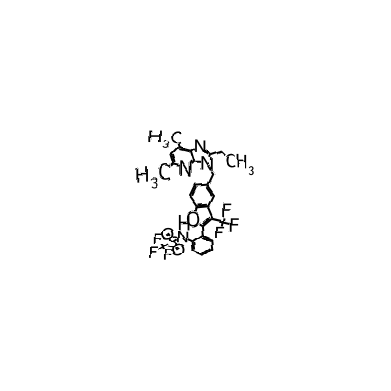 CCc1nc2c(C)cc(C)nc2n1Cc1ccc2oc(-c3ccccc3NS(=O)(=O)C(F)(F)F)c(C(F)(F)F)c2c1